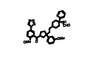 COc1cccc(C2(CCN3CCC(NC=O)(c4ccccn4)CC3)CCN(C(=O)c3cc(-n4cnnn4)ccc3OC)C2)c1